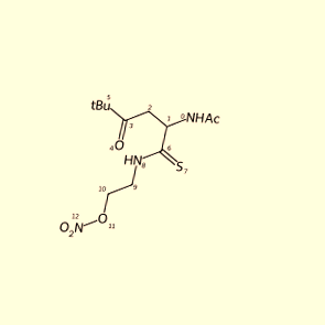 CC(=O)NC(CC(=O)C(C)(C)C)C(=S)NCCO[N+](=O)[O-]